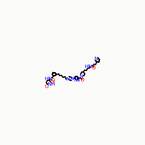 O=C(/C=C/c1cccnc1)NCCCCC1CCN(C(=O)c2ccc(N3CCN(CCCCCCc4cccc(C(=O)NC5CCC(=O)NC5=O)c4)CC3)nn2)CC1